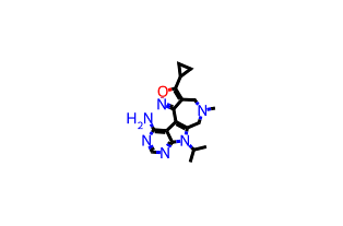 CC(C)n1c2c(c3c(N)ncnc31)-c1noc(C3CC3)c1CN(C)C2